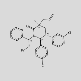 C=CC[C@@]1(C)C[C@H](c2cccc(Cl)c2)[C@@H](c2ccc(Cl)cc2)N([C@H](CC(C)C)c2ccccn2)C1=O